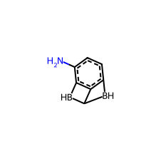 Nc1ccc2c3c1BC3B2